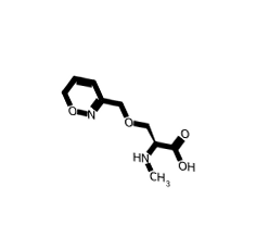 CN[C@@H](COCC1=NOCC=C1)C(=O)O